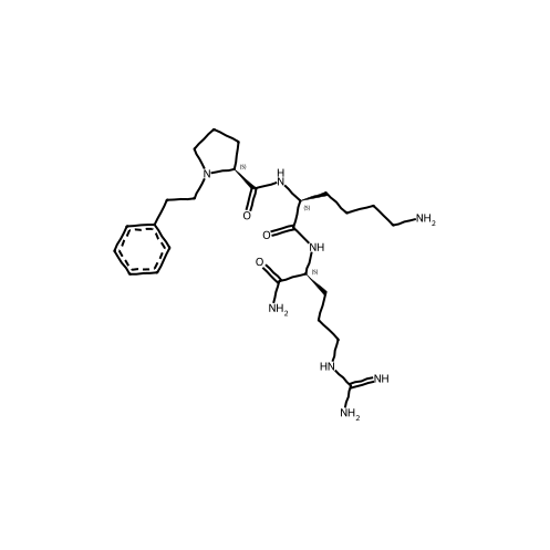 N=C(N)NCCC[C@H](NC(=O)[C@H](CCCCN)NC(=O)[C@@H]1CCCN1CCc1ccccc1)C(N)=O